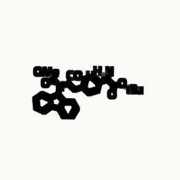 COC(=O)N(C1c2ccccc2-c2ccccc21)[C@H](Cc1ccc(C(N)C(=O)OC(C)(C)C)cc1)C(=O)O